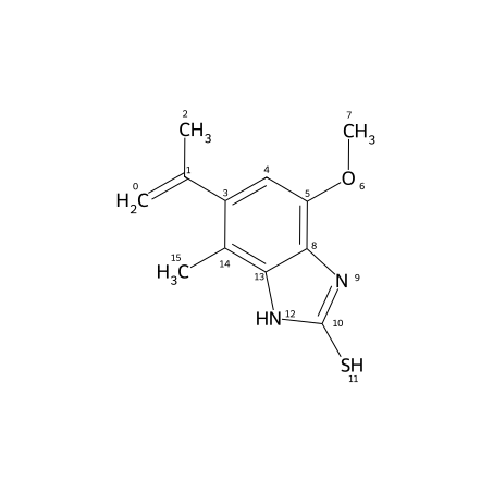 C=C(C)c1cc(OC)c2nc(S)[nH]c2c1C